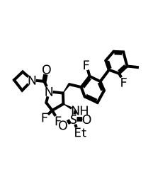 CCS(=O)(=O)N[C@@H]1[C@H](Cc2cccc(-c3cccc(C)c3F)c2F)N(C(=O)N2CCC2)CC1(F)F